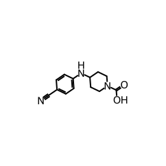 N#Cc1ccc(NC2CCN(C(=O)O)CC2)cc1